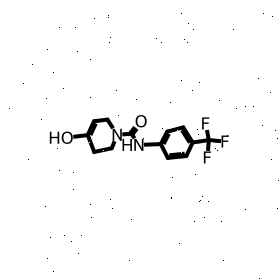 O=C(Nc1ccc(C(F)(F)F)cc1)N1CC=C(O)CC1